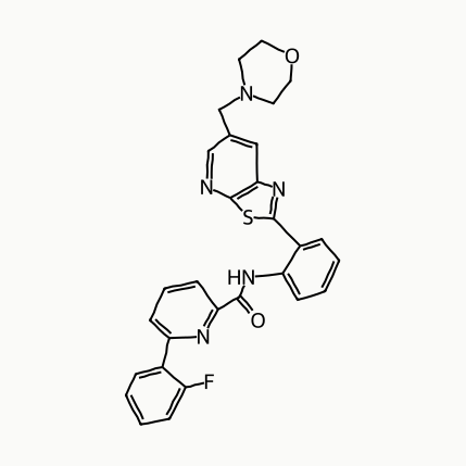 O=C(Nc1ccccc1-c1nc2cc(CN3CCOCC3)cnc2s1)c1cccc(-c2ccccc2F)n1